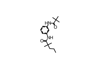 CCCC(C)(C)C(=O)Nc1cccc(NC(=O)C(C)(C)C)c1